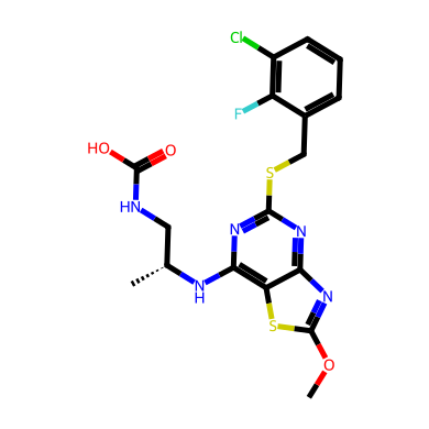 COc1nc2nc(SCc3cccc(Cl)c3F)nc(N[C@H](C)CNC(=O)O)c2s1